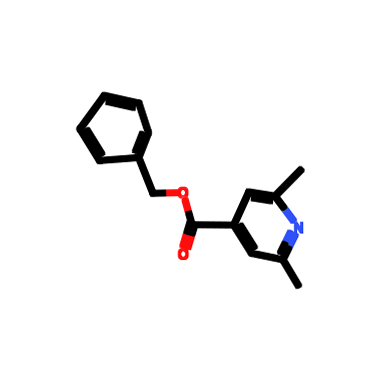 Cc1cc(C(=O)OCc2ccccc2)cc(C)n1